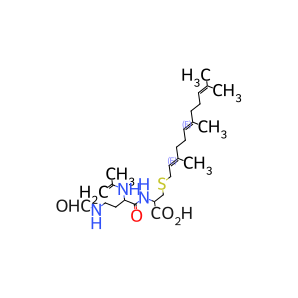 C=C(C)NC(CCNC=O)C(=O)NC(CSC/C=C(\C)CC/C=C(\C)CCC=C(C)C)C(=O)O